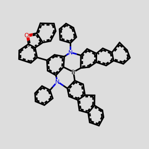 c1ccc(N2c3cc4cc5ccccc5cc4cc3B3c4cc5cc6ccccc6cc5cc4N(c4ccccc4)c4cc(-c5cccc6oc7ccccc7c56)cc2c43)cc1